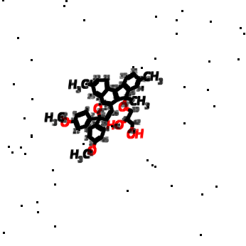 COc1ccc(C2(c3ccc(OC)cc3)C=Cc3c4c(c5ccc(C)cc5c3O2)-c2ccc(C)cc2C4(C)OCC(O)CO)cc1